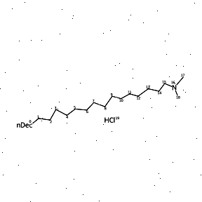 CCCCCCCCCCCCCCCCCCCCCCCCCN(C)C.Cl